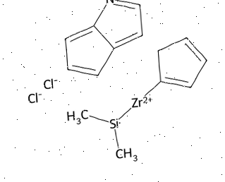 C1=CC2=CC=NC2=C1.C[Si](C)[Zr+2][C]1=CC=CC1.[Cl-].[Cl-]